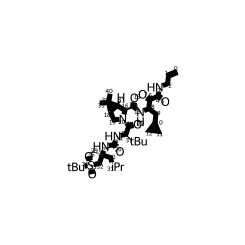 C=CCNC(=O)C(=O)C(CC1CC1)NC(=O)[C@@H]1[C@@H]2C(CN1C(=O)[C@@H](NC(=O)N[C@@](C)(CC(C)C)CS(=O)(=O)C(C)(C)C)C(C)(C)C)C2(C)C